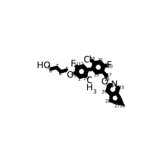 Cc1cc(OCCCCO)c(F)cc1-c1cc(COc2cc3c(cn2)C2CC2C3)c(F)cc1Cl